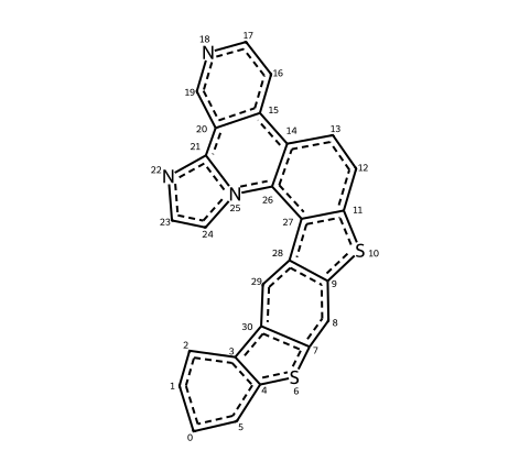 c1ccc2c(c1)sc1cc3sc4ccc5c6ccncc6c6nccn6c5c4c3cc12